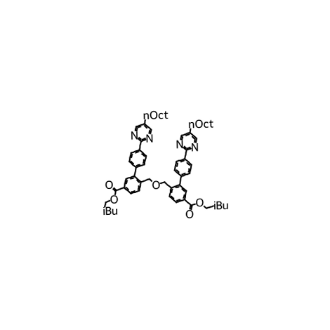 CCCCCCCCc1cnc(-c2ccc(-c3cc(C(=O)OCC(C)CC)ccc3COCc3ccc(C(=O)OCC(C)CC)cc3-c3ccc(-c4ncc(CCCCCCCC)cn4)cc3)cc2)nc1